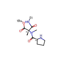 CCNC(=O)[C@@](C)(C(=O)OC(C)(C)C)N(C)C(=O)[C@@H]1CCCN1